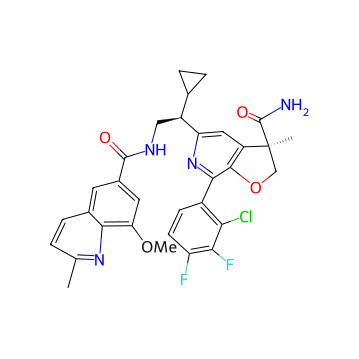 COc1cc(C(=O)NC[C@H](c2cc3c(c(-c4ccc(F)c(F)c4Cl)n2)OC[C@]3(C)C(N)=O)C2CC2)cc2ccc(C)nc12